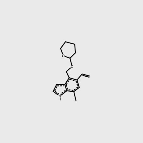 C=Cc1cc(C)c2[nH]ccc2c1COC1CCCCO1